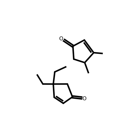 CC1=CC(=O)CC1C.CCC1(CC)C=CC(=O)C1